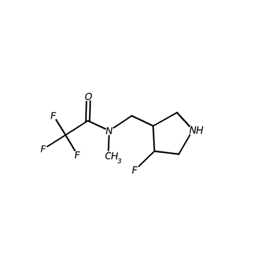 CN(CC1CNCC1F)C(=O)C(F)(F)F